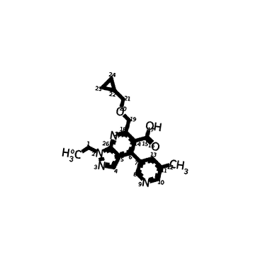 CCn1ncc2c(-c3cncc(C)c3)c(C(=O)O)c(COCC3CC3)nc21